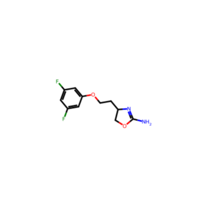 NC1=NC(CCOc2cc(F)cc(F)c2)CO1